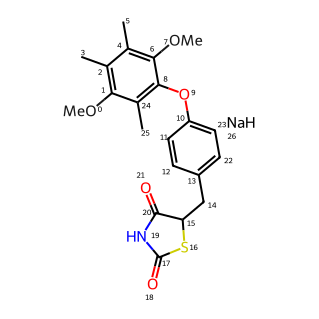 COc1c(C)c(C)c(OC)c(Oc2ccc(CC3SC(=O)NC3=O)cc2)c1C.[NaH]